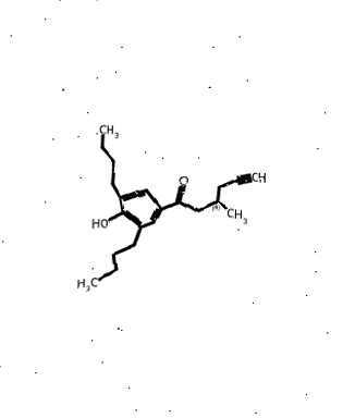 C#CC[C@@H](C)CC(=O)c1cc(CCCC)c(O)c(CCCC)c1